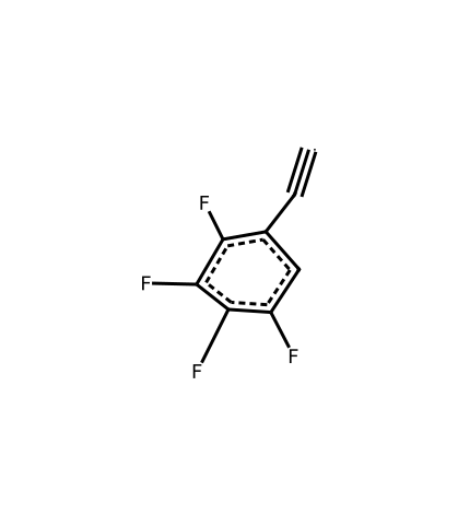 [C]#Cc1cc(F)c(F)c(F)c1F